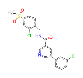 CS(=O)(=O)c1ccc(CNC(=O)c2cncc(-c3cccc(Cl)c3)c2)c(Cl)c1